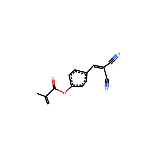 C=C(C)C(=O)Oc1ccc(C=C(C#N)C#N)cc1